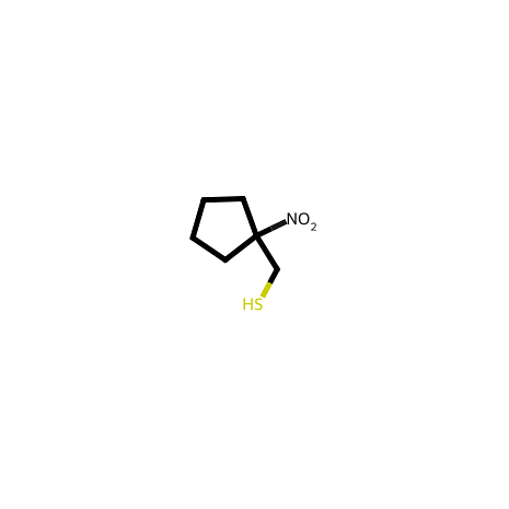 O=[N+]([O-])C1(CS)CCCC1